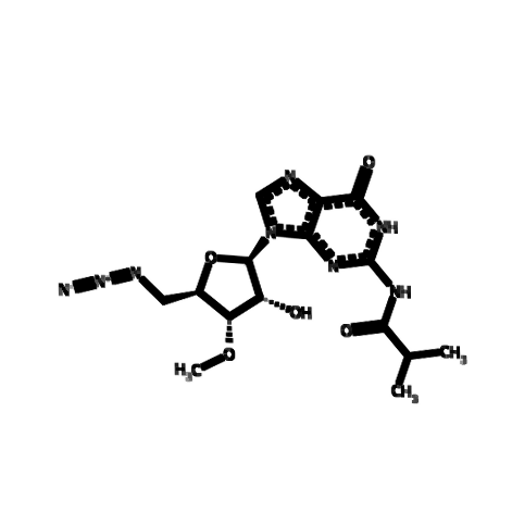 CO[C@H]1[C@@H](O)[C@H](n2cnc3c(=O)[nH]c(NC(=O)C(C)C)nc32)O[C@@H]1CN=[N+]=[N-]